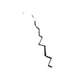 CCCCCCCCCCCCCCCCCNC(=O)O.Cl